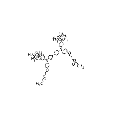 C=CCOCCCOc1ccc(N(c2ccc(-c3ccc(N(c4ccc(OCCCOC(=O)C=C)cc4)c4ccc([Si](C)(C)C(C)(C)C)cc4)cc3)cc2)c2ccc([Si](C)(C)C(C)(C)C)cc2)cc1